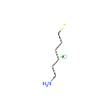 Cl.NCCCCCCF